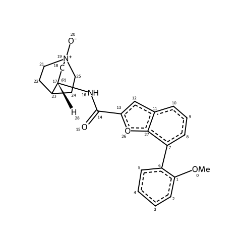 COc1ccccc1-c1cccc2cc(C(=O)N[C@H]3C[N+]4([O-])CCC3CC4)oc12